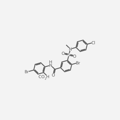 CN(c1ccc(Cl)cc1)S(=O)(=O)c1cc(C(=O)Nc2ccc(Br)cc2C(=O)O)ccc1Br